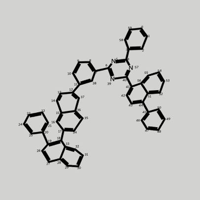 c1ccc(-c2nc(-c3cccc(-c4ccc5cc(-c6c(-c7ccccc7)ccc7ccccc67)ccc5c4)c3)nc(-c3ccc(-c4ccccc4)c4ccccc34)n2)cc1